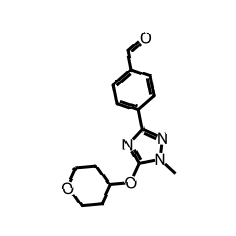 Cn1nc(-c2ccc(C=O)cc2)nc1OC1CCOCC1